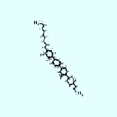 C/C=C/C1CCC(c2ccc(-c3ccc(-c4ccc(CCCCCCCCC)c(F)c4F)cc3)cc2F)CO1